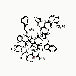 C[C@@H](O)[C@H](NC(=O)[C@H](CO)NC(=O)[C@@H]1CCCN1C(=O)[C@H](CC(N)=O)NC(=O)[C@@H](N)Cc1ccccc1)C(=O)N[C@@H](CC(N)=O)C(=O)N1CCC[C@H]1C(=O)N[C@@H](Cc1c[nH]c2ccccc12)C(=O)N[C@@H](Cc1c[nH]cn1)C(=O)N[C@@H](CO)C(=O)N1CCC[C@H]1C(=O)O